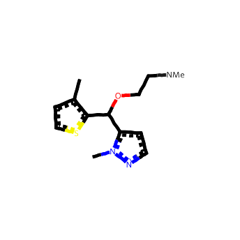 CNCCOC(c1sccc1C)c1ccnn1C